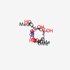 CO[C@H]1C[C@@H](C)C/C(C)=C/[C@@H](CCO)C(=O)C[C@H](O)[C@@H](C)[C@@H](/C(C)=C/[C@@H]2CC[C@@H](O)[C@H](OC)C2)OC(=O)[C@@H]2CCCCN2C(=O)C(=O)[C@]2(O)O[C@H]1[C@@H](OC)C[C@H]2C